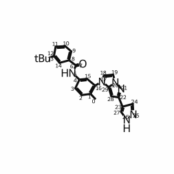 Cc1ccc(NC(=O)c2cccc(C(C)(C)C)c2)cc1-n1ccn2nc(-c3cn[nH]c3)cc12